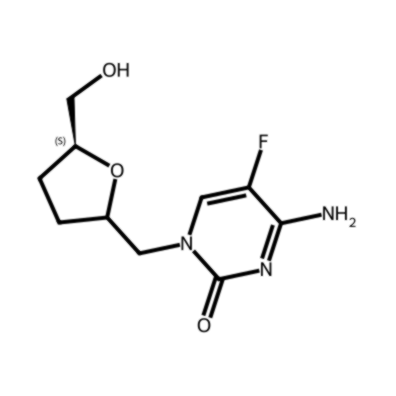 Nc1nc(=O)n(CC2CC[C@@H](CO)O2)cc1F